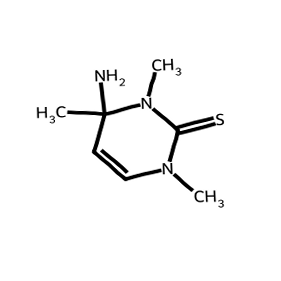 CN1C=CC(C)(N)N(C)C1=S